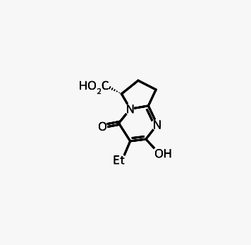 CCc1c(O)nc2n(c1=O)[C@H](C(=O)O)CC2